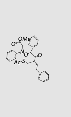 COC(=O)CN(OC(C(=O)[C@@H](CCc1ccccc1)CSC(C)=O)c1ccccc1)c1ccccc1